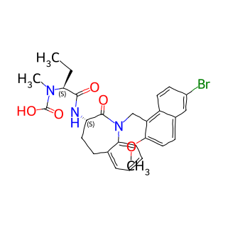 CC[C@@H](C(=O)N[C@H]1CCc2ccccc2N(Cc2c(OC)ccc3cc(Br)ccc23)C1=O)N(C)C(=O)O